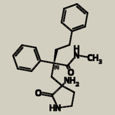 CNC(=O)[C@](CCc1ccccc1)(CC1(N)CCNC1=O)c1ccccc1